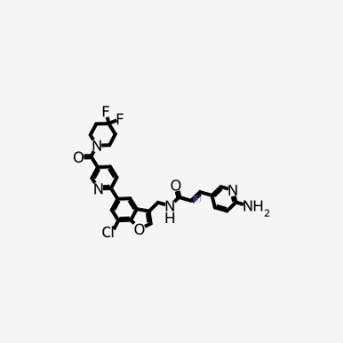 Nc1ccc(/C=C/C(=O)NCc2coc3c(Cl)cc(-c4ccc(C(=O)N5CCC(F)(F)CC5)cn4)cc23)cn1